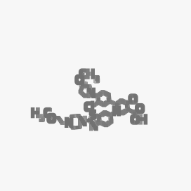 COCCN1CCN(c2nc3ccc(-n4cc(C(=O)O)c(=O)cc4-c4ccc(N5CC[C@@H](OC)C5)c(Cl)c4)cc3s2)CC1